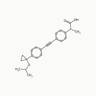 CC(C)OC1(c2ccc(C#Cc3ccc(C(C)C(=O)O)cc3)cc2)CC1